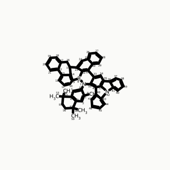 Cc1cc2c(cc1N1B3c4cccc5c4C(Cc4ccccc4-5)c4cc5ccccc5c(c43)-c3cc4c5ccccc5n5c6ccccc6c(c31)c45)C(C)(C)CCC2(C)C